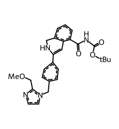 COCc1nccn1Cc1ccc(C2=Cc3c(cccc3C(=O)NC(=O)OC(C)(C)C)CN2)cc1